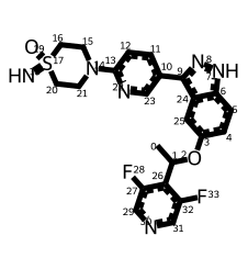 CC(Oc1ccc2[nH]nc(-c3ccc(N4CCS(=N)(=O)CC4)nc3)c2c1)c1c(F)cncc1F